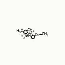 CC=CCOc1cccc(NC(=O)c2c(C)cc(C)nc2N)c1F